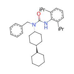 CC(C)c1cccc(C(C)C)c1NC(=O)N(Cc1ccccc1)[C@H]1CC[C@H](C2CCCCC2)CC1